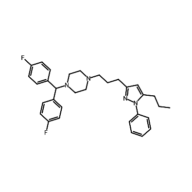 CCCc1cc(CCCN2CCN(C(c3ccc(F)cc3)c3ccc(F)cc3)CC2)nn1-c1ccccc1